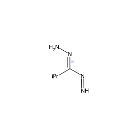 CC(C)/C(N=N)=N\N